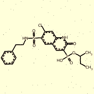 CCC(C)OP(=O)(O)c1cc2cc(S(=O)(=O)NCCc3ccccc3)c(Cl)cc2[nH]c1=O